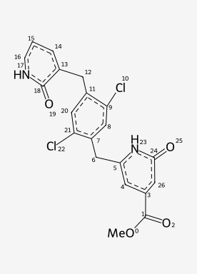 COC(=O)c1cc(Cc2cc(Cl)c(Cc3ccc[nH]c3=O)cc2Cl)[nH]c(=O)c1